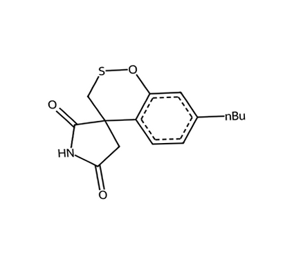 CCCCc1ccc2c(c1)OSCC21CC(=O)NC1=O